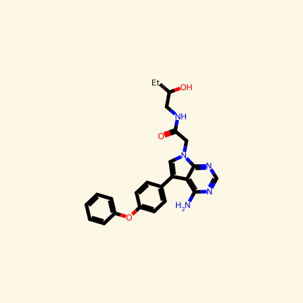 CCC(O)CNC(=O)Cn1cc(-c2ccc(Oc3ccccc3)cc2)c2c(N)ncnc21